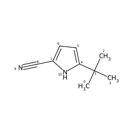 CC(C)(C)c1ccc(C#N)[nH]1